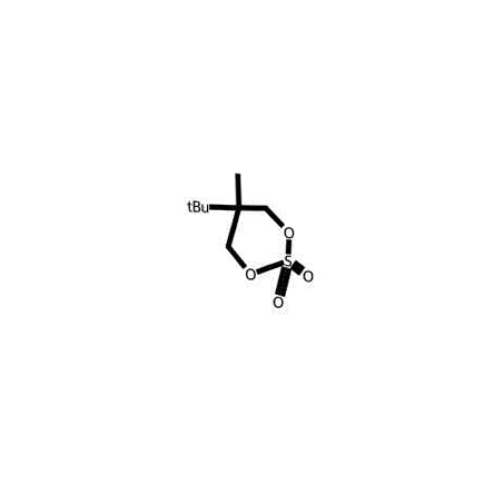 CC(C)(C)C1(C)COS(=O)(=O)OC1